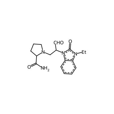 CCn1c(=O)n(C(C=O)CN2CCCC2C(N)=O)c2ccccc21